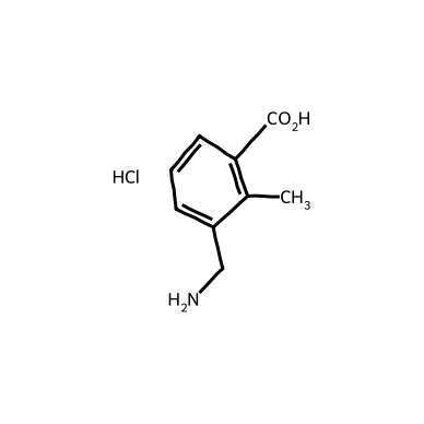 Cc1c(CN)cccc1C(=O)O.Cl